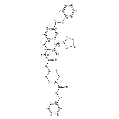 O=C(CC1CCN(C(=O)CCc2ccccc2)CC1)NC(Cc1ccc(OCc2ccccc2)cc1)C(=O)NC1CCCC1